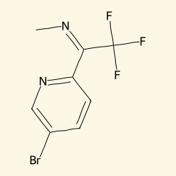 C/N=C(\c1ccc(Br)cn1)C(F)(F)F